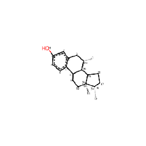 C[C@H]1Cc2cc(O)ccc2C2CC[C@@]3(C)C(CC[C@@H]3C)C21